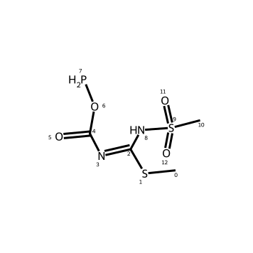 CSC(=NC(=O)OP)NS(C)(=O)=O